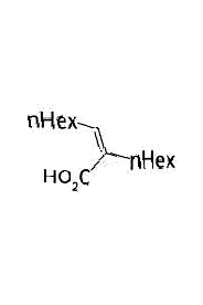 CCCCCC/C=C(/CCCCCC)C(=O)O